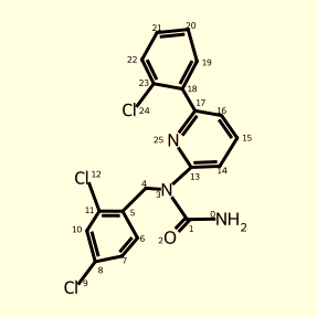 NC(=O)N(Cc1ccc(Cl)cc1Cl)c1cccc(-c2ccccc2Cl)n1